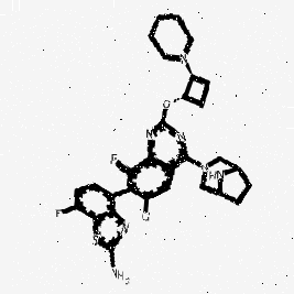 Nc1nc2c(-c3c(Cl)cc4c(N5CC6CCC(C5)N6)nc(O[C@H]5CC[C@@H]5N5CCCCC5)nc4c3F)ccc(F)c2s1